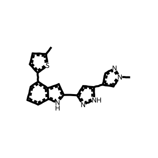 Cc1ccc(-c2cccc3[nH]c(-c4cc(-c5cnn(C)c5)[nH]n4)cc23)s1